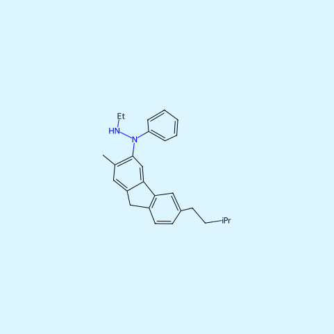 CCNN(c1ccccc1)c1cc2c(cc1C)Cc1ccc(CCC(C)C)cc1-2